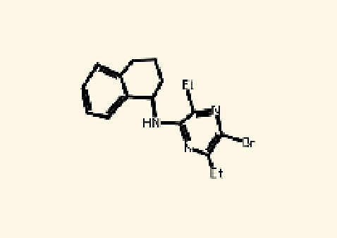 CCc1nc(NC2CCCc3ccccc32)c(CC)nc1Br